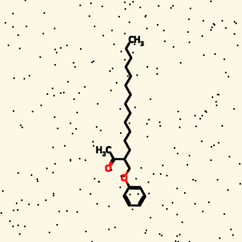 CCCCCCCCCCCCCC(COc1ccccc1)C(C)=O